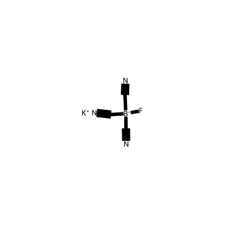 N#C[B-](F)(C#N)C#N.[K+]